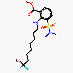 COC(=O)c1cccc(S(=O)(=O)N(C)C)c1NCCCCCCCC(F)(F)Br